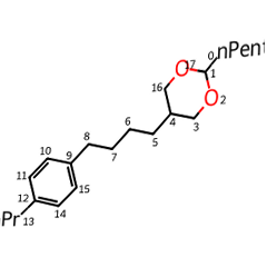 CCCCCC1OCC(CCCCc2ccc(CCC)cc2)CO1